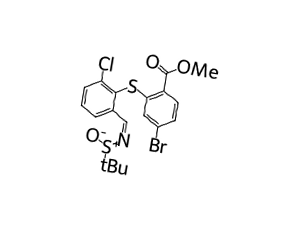 COC(=O)c1ccc(Br)cc1Sc1c(Cl)cccc1C=N[S+]([O-])C(C)(C)C